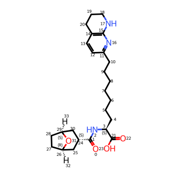 O=C(N[C@@H](CCCCCCCc1ccc2c(n1)NCCC2)C(=O)O)[C@@H]1C[C@H]2CC[C@@H](C1)O2